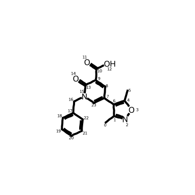 Cc1noc(C)c1-c1cc(C(=O)O)c(=O)n(Cc2ccccc2)c1